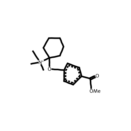 COC(=O)c1ccc(OC2([N+](C)(C)C)CCCCC2)cc1